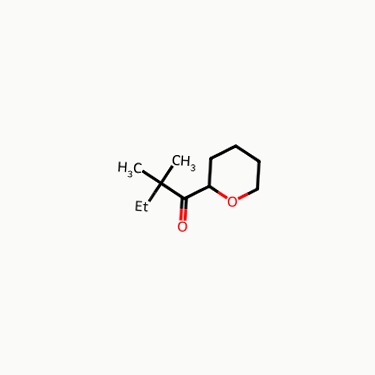 CCC(C)(C)C(=O)C1CCCCO1